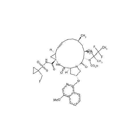 COc1cnc(O[C@@H]2C[C@H]3C(=O)N[C@]4(C(=O)NS(=O)(=O)C5(CF)CC5)C[C@H]4/C=C\CC[C@@H](C)C[C@@H](C)[C@H](N(C(=O)O)C(C)(C)C(C)(F)F)C(=O)N3C2)c2ccccc12